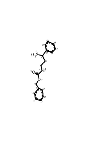 NC(CCNC(=O)OCc1ccccc1)c1ccccc1